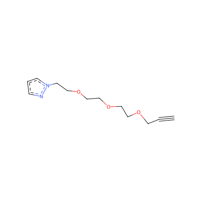 C#CCOCCOCCOCCn1cccn1